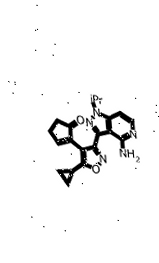 CC(C)n1nc(-c2noc(C3CC3)c2C2=CCCC2=O)c2c(N)nccc21